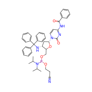 CC(C)N(C(C)C)P(OCCC#N)OCC1O[C@@H](n2ccc(NC(=O)c3ccccc3)nc2=O)C[C@H]1NC(c1ccccc1)(c1ccccc1)c1ccccc1